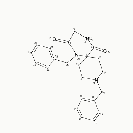 O=C1CNC(=O)C2(CCN(Cc3ccccc3)CC2)N1Cc1ccccc1